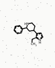 CCc1[nH]ccc1C1CCNC(c2ccccc2)C1